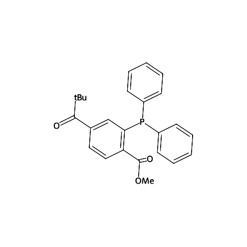 COC(=O)c1ccc(C(=O)C(C)(C)C)cc1P(c1ccccc1)c1ccccc1